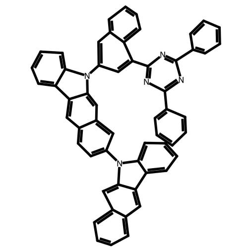 c1ccc(-c2nc(-c3ccccc3)nc(-c3cc(-n4c5ccccc5c5cc6ccc(-n7c8ccccc8c8cc9ccccc9cc87)cc6cc54)cc4ccccc34)n2)cc1